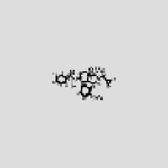 COC12CC[C@H](NC(=O)c3ccccc3)CC1(c1cccc(OC(C)=O)c1)CCN(CC1CC1)C2